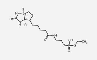 CCOP(=O)(O)OCCNC(=O)CCCCC1SC[C@@H]2NC(=O)N[C@H]12